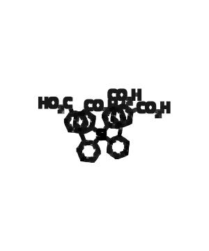 O=C(O)c1ccc(-c2ccccc2[Si](c2ccccc2)(c2ccccc2)c2ccccc2-c2ccc(C(=O)O)c(C(=O)O)c2)cc1C(=O)O